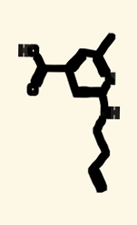 C=CCCNc1cc(C(=O)O)cc(C)n1